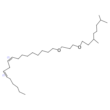 CCCCC/C=C\C/C=C\CCCCCCCCOCCCOCCC(C)CCCC(C)C